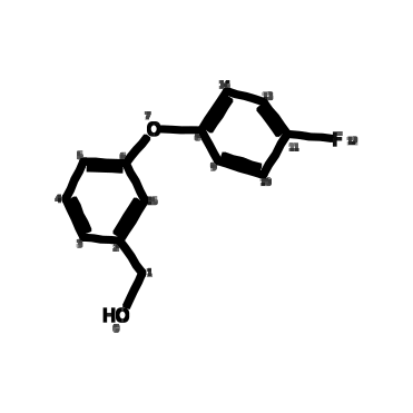 OCc1cccc(Oc2ccc(F)cc2)c1